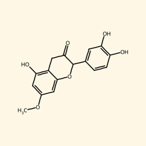 COc1cc(O)c2c(c1)OC(c1ccc(O)c(O)c1)C(=O)C2